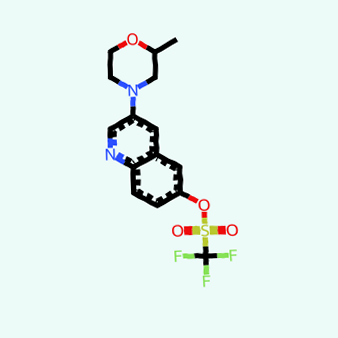 CC1CN(c2cnc3ccc(OS(=O)(=O)C(F)(F)F)cc3c2)CCO1